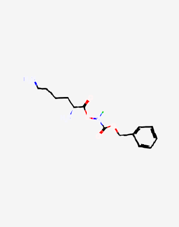 NCCCC[C@H](N)C(=O)ON(Cl)C(=O)OCc1ccccc1